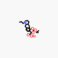 CCCN1CCCC2Cc3c(ccc(CC(=O)O)c3OC(=O)OC(C)(C)C)CC21